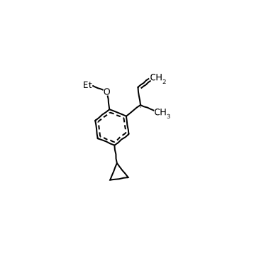 C=C[C](C)c1cc(C2CC2)ccc1OCC